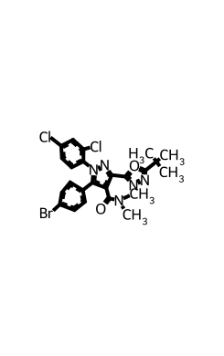 CN(C)C(=O)c1c(-c2nnc(C(C)(C)C)o2)nn(-c2ccc(Cl)cc2Cl)c1-c1ccc(Br)cc1